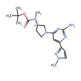 CN(C(=O)OC(C)(C)C)[C@@H]1CCN(c2cc(-c3ccn(C)n3)nc(N)n2)C1